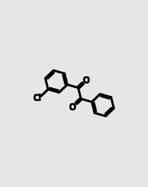 O=C(C(=O)c1cccc(Cl)c1)c1ccccc1